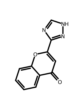 O=c1cc(-c2nc[nH]n2)oc2ccccc12